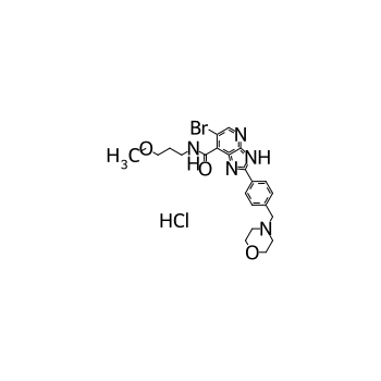 COCCCNC(=O)c1c(Br)cnc2[nH]c(-c3ccc(CN4CCOCC4)cc3)nc12.Cl